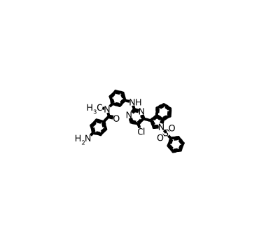 CN(C(=O)c1ccc(N)cc1)c1cccc(Nc2ncc(Cl)c(-c3cn(S(=O)(=O)c4ccccc4)c4ccccc34)n2)c1